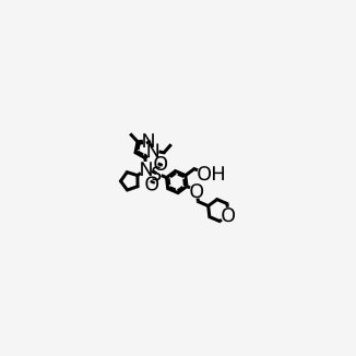 CCn1nc(C)cc1N(C1CCCC1)S(=O)(=O)c1ccc(OCC2CCOCC2)c(CO)c1